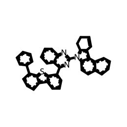 C1=Cc2c(n(-c3nc(-c4cccc5c4sc4c(-c6ccccc6)cccc45)c4ccccc4n3)c3ccc4ccccc4c23)CC1